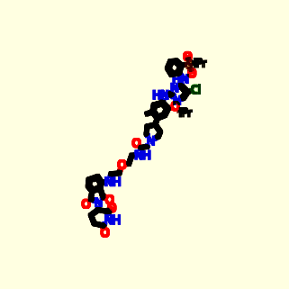 Cc1cc(Nc2ncc(Cl)c(Nc3ccccc3S(=O)(=O)C(C)C)n2)c(OC(C)C)cc1C1CCN(CC(=O)NCCOCCNc2cccc3c2C(=O)N(C2CCC(=O)NC2=O)C3=O)CC1